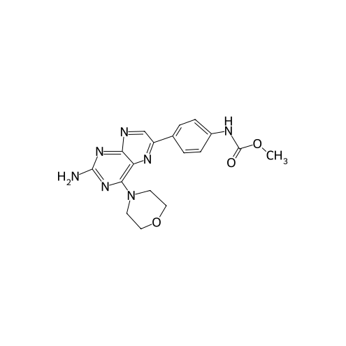 COC(=O)Nc1ccc(-c2cnc3nc(N)nc(N4CCOCC4)c3n2)cc1